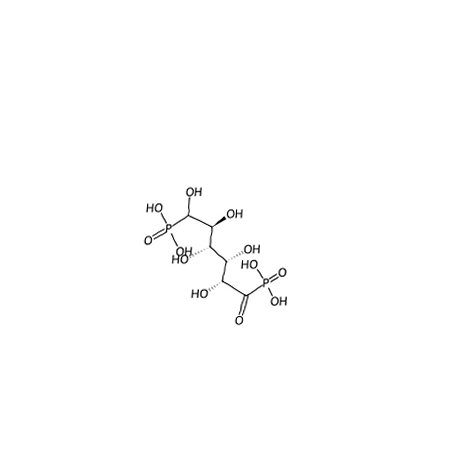 O=C([C@H](O)[C@@H](O)[C@H](O)[C@H](O)C(O)P(=O)(O)O)P(=O)(O)O